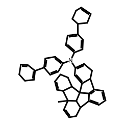 CC12C=CCC3c4cccc5c4C(C4=CC(N(c6ccc(C7=CCCC=C7)cc6)c6ccc(C7CC=CCC7)cc6)=CCC45)(C4CCC=CC41)C32